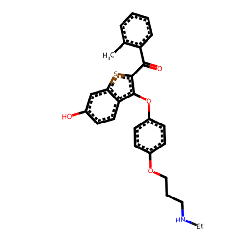 CCNCCCOc1ccc(Oc2c(C(=O)c3ccccc3C)sc3cc(O)ccc23)cc1